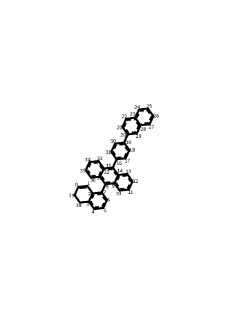 C1=Cc2c(cccc2-c2c3ccccc3c(-c3ccc(-c4ccc5ccccc5c4)cc3)c3ccccc23)CC1